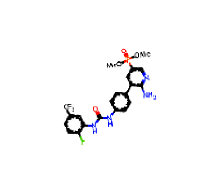 COP(=O)(OC)c1cnc(N)c(-c2ccc(NC(=O)Nc3cc(C(F)(F)F)ccc3F)cc2)c1